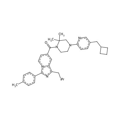 Cc1ccc(-c2nc(CC(C)C)c3cc(C(=O)N4CCN(c5ccc(CC6CCC6)cn5)CC4(C)C)ccn23)cc1